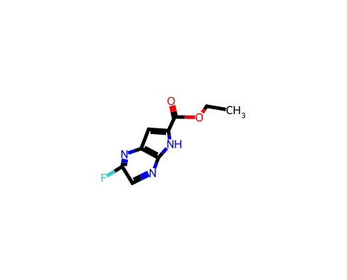 CCOC(=O)c1cc2nc(F)cnc2[nH]1